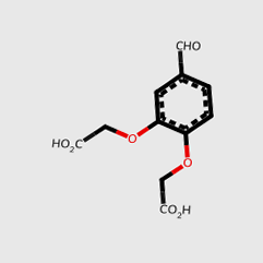 O=Cc1ccc(OCC(=O)O)c(OCC(=O)O)c1